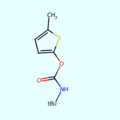 Cc1ccc(OC(=O)NC(C)(C)C)s1